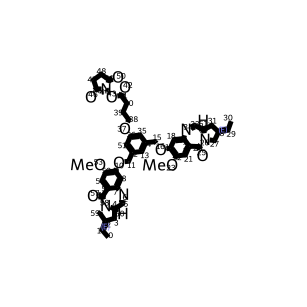 C/C=C1\C[C@H]2C=Nc3cc(OCc4cc(COc5cc6c(cc5OC)C(=O)N5C/C(=C/C)C[C@H]5C=N6)cc(OCCCC(=O)ON5C(=O)CCC5=O)c4)c(OC)cc3C(=O)N2C1